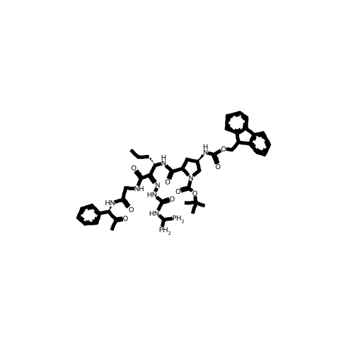 CCC[C@H](NC(=O)C1C[C@@H](NC(=O)OCC2c3ccccc3-c3ccccc32)CN1C(=O)OC(C)(C)C)C(=NNC(=O)NC(P)P)C(=O)NCC(=O)N[C@H](C(C)=O)c1ccccc1